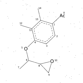 CC(=O)c1ccc(OC(C)C2CO2)c(C)c1C